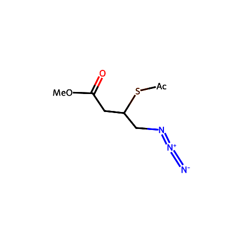 COC(=O)CC(CN=[N+]=[N-])SC(C)=O